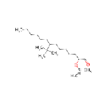 CCCCCCC(CCCCCC(C=O)O[SiH](C)C)C(C)(C)C